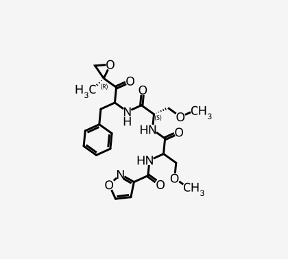 COCC(NC(=O)c1ccon1)C(=O)N[C@@H](COC)C(=O)NC(Cc1ccccc1)C(=O)[C@@]1(C)CO1